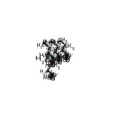 CC(C)=CCCC(C)=CCCC(C)=CCOP(=O)([O-])OP(=O)(O)O.CC(C)=CCCC(C)=CCCC(C)=CCOP(=O)([O-])OP(=O)(O)O.CC(C)=CCCC(C)=CCCC(C)=CCOP(=O)([O-])OP(=O)(O)O.CC(C)=CCCC(C)=CCCC(C)=CCOP(=O)([O-])OP(=O)(O)O.[C+4]